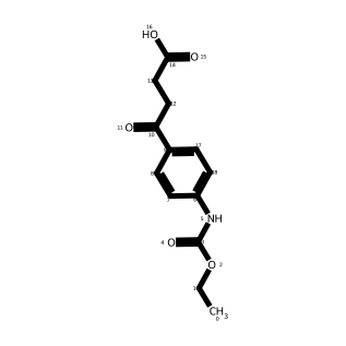 CCOC(=O)Nc1ccc(C(=O)CCC(=O)O)cc1